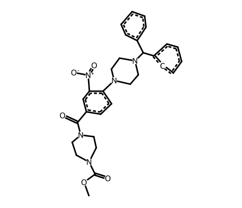 COC(=O)N1CCN(C(=O)c2ccc(N3CCN(C(c4ccccc4)c4ccccc4)CC3)c([N+](=O)[O-])c2)CC1